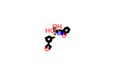 OB(O)[C@H](Cc1coc2ccccc12)NSCc1cccc(C2CCOC2)c1